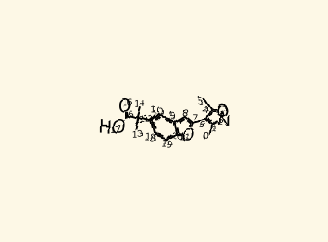 Cc1noc(C)c1-c1cc2cc(C(C)(C)C(=O)O)ccc2o1